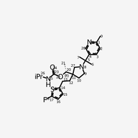 Cc1ccc(C(C)(C)N2CCC(CCc3ccc(F)s3)([C@@H](C)OC(=O)NC(C)C)C2)cn1